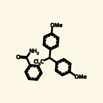 COc1ccc(C(c2ccc(OC)cc2)C(Cl)(Cl)Cl)cc1.NC(=O)c1ccccc1